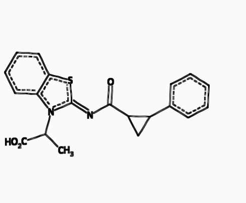 CC(C(=O)O)n1c(=NC(=O)C2CC2c2ccccc2)sc2ccccc21